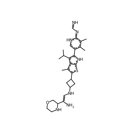 Cc1c(-c2[nH]c3sc(C4CC(N/C=C(\N)C5COCCN5)C4)c(C)c3c2C(C)C)c[nH]/c(=N\C=N)c1C